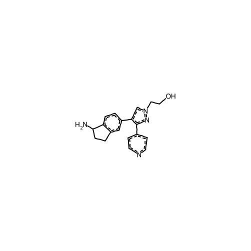 NC1CCc2cc(-c3cn(CCO)nc3-c3ccncc3)ccc21